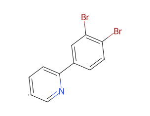 Brc1ccc(-c2cc[c]cn2)cc1Br